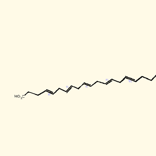 CC(C)CC/C=C/C/C=C/C/C=C/C/C=C/C/C=C/CCC(=O)O